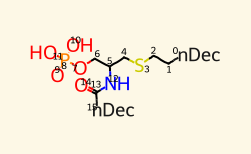 CCCCCCCCCCCCSCC(COP(=O)(O)O)NC(=O)CCCCCCCCCC